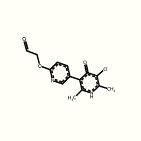 Cc1[nH]c(C)c(-c2ccc(OCC=O)nc2)c(=O)c1Cl